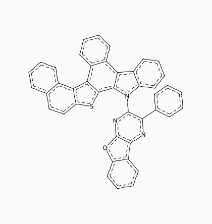 c1ccc(-c2nc3c(nc2-n2c4ccccc4c4c5ccccc5c5c(sc6ccc7ccccc7c65)c42)oc2ccccc23)cc1